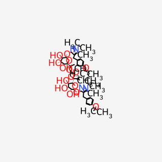 CCC(OC(=O)OC(CC)[C@@H]1O[C@@H](Oc2nn(C(C)C)c(C)c2Cc2ccc(OC(C)C)cc2)[C@H](O)[C@@H](O)[C@H]1O)[C@@H]1O[C@@H](Oc2nn(C(C)C)c(C)c2Cc2ccc(OC(C)C)cc2)[C@H](O)[C@@H](O)[C@H]1O